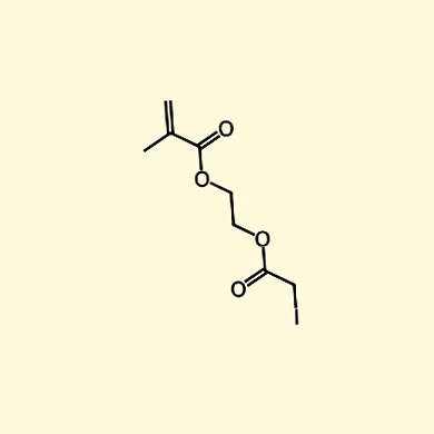 C=C(C)C(=O)OCCOC(=O)CI